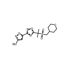 CC(C)(C)c1cc(-c2noc(C(C)(C)S(=O)(=O)CC3CCOCC3)n2)on1